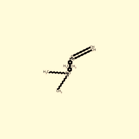 C#CC#CC#CC#CC#CC#COP(OC#CC#CC#CC#CC#CC#C)Oc1ccc(C(C)(C)c2ccc(OP(OCCCCCCCCCCCC)OCCCCCCCCCCCC)cc2)cc1